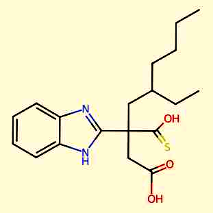 CCCCC(CC)CC(CC(=O)O)(C(O)=S)c1nc2ccccc2[nH]1